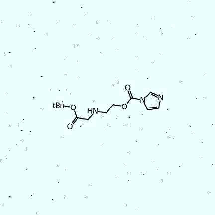 CC(C)(C)OC(=O)CNCCOC(=O)n1ccnc1